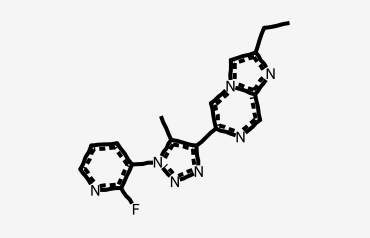 CCc1cn2cc(-c3nnn(-c4cccnc4F)c3C)ncc2n1